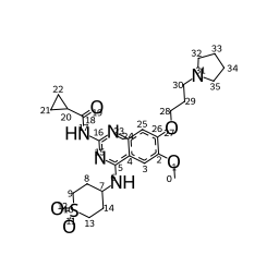 COc1cc2c(NC3CCS(=O)(=O)CC3)nc(NC(=O)C3CC3)nc2cc1OCCCN1CCCC1